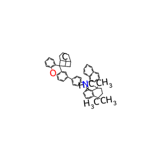 CC1(C)CCC(C)(C)c2c(N(c3ccc(-c4ccc5c(c4)C4(c6ccccc6O5)C5CC6CC7CC4C75C6)cc3)c3cccc4ccccc34)cccc21